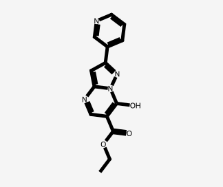 CCOC(=O)c1cnc2cc(-c3cccnc3)nn2c1O